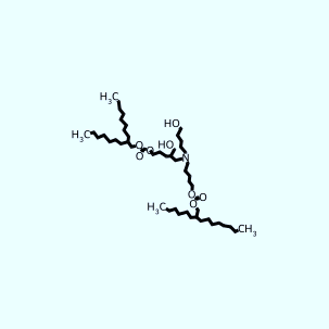 CCCCCCCCC(CCCCCC)COC(=O)OCCCCCN(CCCCCO)CC(CO)CCCOC(=O)OCC(CCCCCCC)CCCCCCCC